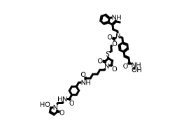 Cc1[nH]c2ccccc2c1CCN(Cc1ccc(/C=C/C(=O)NO)cc1)C(=O)OCCSC1CC(=O)N(CCCCCC(=O)NCC2CCC(C(=O)NCCN3C(=O)C=CC3O)CC2)C1=O